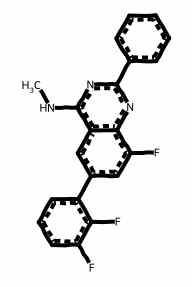 CNc1nc(-c2ccccc2)nc2c(F)cc(-c3cccc(F)c3F)cc12